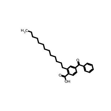 CCCCCCCCCCCCCc1cc(C(=O)c2ccccc2)ccc1C(=O)O